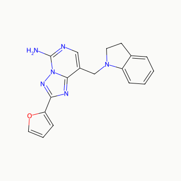 Nc1ncc(CN2CCc3ccccc32)c2nc(-c3ccco3)nn12